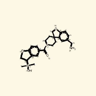 C[Si](C)(O)C1COc2ccc(C(=O)N3CCC4(CC3)COc3ccc(CN)cc34)cc21